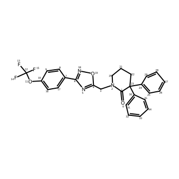 O=C1N(Cc2nc(-c3ccc(OC(F)(F)F)cc3)no2)CCCC1(c1ccccc1)c1ccccc1